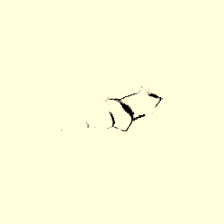 O=C([O-])C1=Nc2nc[se]c2C1.[Na+]